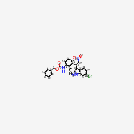 Cc1c(NC(=O)OCc2ccccc2)cccc1C(C[N+](=O)[O-])c1c[nH]c2cc(Br)ccc12